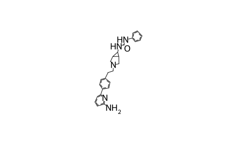 Nc1cccc(-c2ccc(CCN3CC4C(C3)C4NC(=O)Nc3ccccc3)cc2)n1